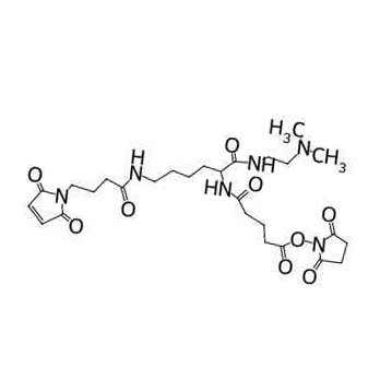 CN(C)CCNC(=O)C(CCCCNC(=O)CCCN1C(=O)C=CC1=O)NC(=O)CCCC(=O)ON1C(=O)CCC1=O